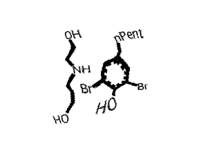 CCCCCc1cc(Br)c(O)c(Br)c1.OCCNCCO